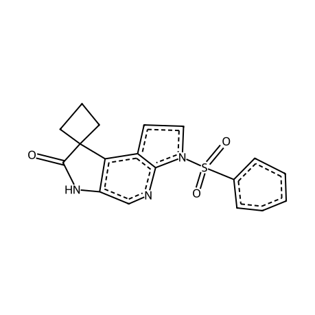 O=C1Nc2cnc3c(ccn3S(=O)(=O)c3ccccc3)c2C12CCC2